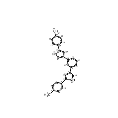 Cc1ccc(-c2nc(-c3cccc(-c4c[nH]c(-c5ccc(C)cc5)n4)c3)c[nH]2)cc1